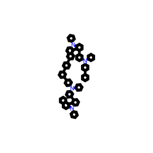 c1ccc(-c2ccc(N(c3ccccc3)c3cccc(-c4cccc5c4c4c6ccc(-c7ccc(-c8cccc(-c9ccc(N(c%10ccccc%10)c%10cccc(-c%11cccc%12c%11c%11c%13ccccc%13ccc%11n%12-c%11ccccc%11)c%10)cc9)c8)cc7)cc6ccc4n5-c4ccccc4)c3)cc2)cc1